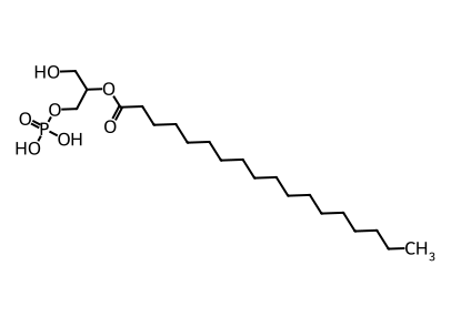 CCCCCCCCCCCCCCCCCC(=O)OC(CO)COP(=O)(O)O